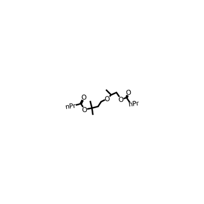 CCCC(=O)OCC(C)OCCC(C)(C)OC(=O)CCC